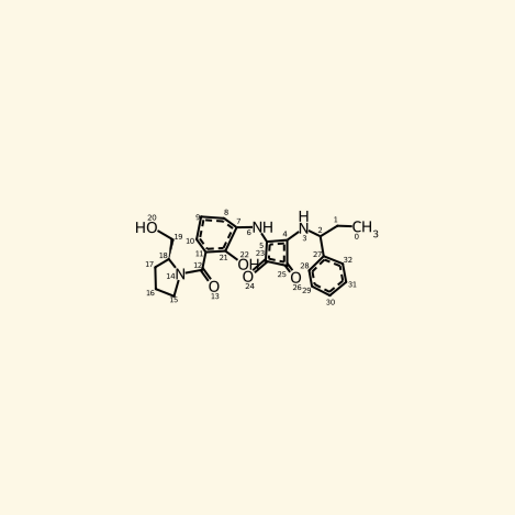 CCC(Nc1c(Nc2cccc(C(=O)N3CCC[C@H]3CO)c2O)c(=O)c1=O)c1ccccc1